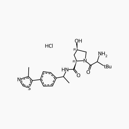 Cc1ncsc1-c1ccc(C(C)NC(=O)[C@H]2C[C@@H](O)CN2C(=O)C(N)C(C)(C)C)cc1.Cl